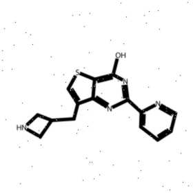 Oc1nc(-c2ccccn2)nc2c(CC3CNC3)csc12